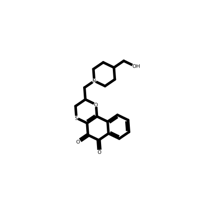 O=C1C(=O)c2ccccc2C2=C1SCC(CN1CCC(CO)CC1)O2